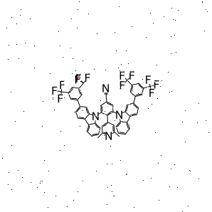 Cc1cc(-c2c(-n3c4ccccc4c4ccc(-c5cc(C(F)(F)F)cc(C(F)(F)F)c5)cc43)cc(C#N)cc2-n2c3ccccc3c3ccc(-c4cc(C(F)(F)F)cc(C(F)(F)F)c4)cc32)cc(C)n1